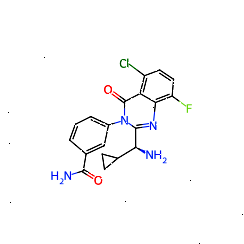 NC(=O)c1cccc(-n2c([C@@H](N)C3CC3)nc3c(F)ccc(Cl)c3c2=O)c1